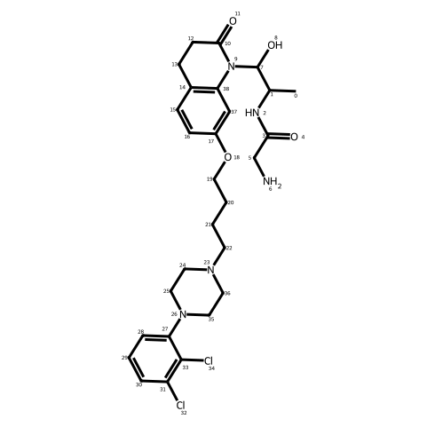 CC(NC(=O)CN)C(O)N1C(=O)CCc2ccc(OCCCCN3CCN(c4cccc(Cl)c4Cl)CC3)cc21